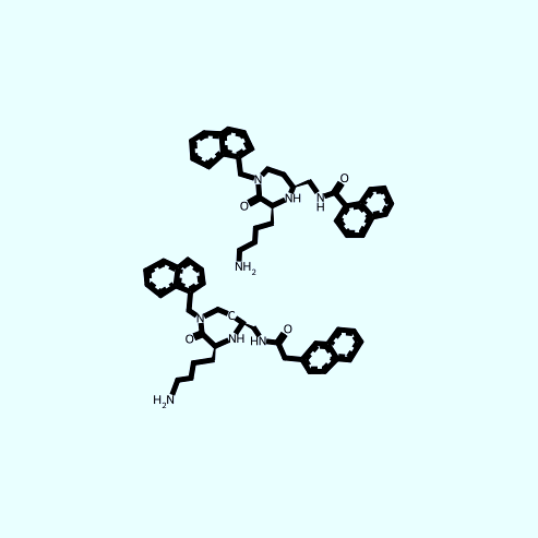 NCCCC[C@@H]1N[C@H](CNC(=O)Cc2ccc3ccccc3c2)CCN(Cc2cccc3ccccc23)C1=O.NCCCC[C@@H]1N[C@H](CNC(=O)c2cccc3ccccc23)CCN(Cc2cccc3ccccc23)C1=O